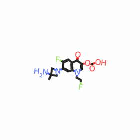 CC1(N)CN(c2cc3c(cc2F)c(=O)c(OC(=O)O)cn3CCF)C1